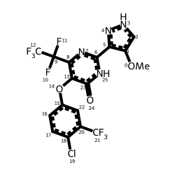 COc1c[nH]nc1-c1nc(C(F)(F)C(F)(F)F)c(Oc2ccc(Cl)c(C(F)(F)F)c2)c(=O)[nH]1